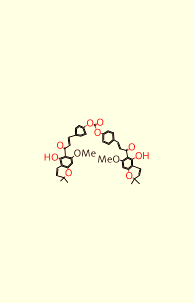 COc1cc2c(c(O)c1C(=O)C=Cc1ccc(OC(=O)Oc3ccc(C=CC(=O)c4c(OC)cc5c(c4O)C=CC(C)(C)O5)cc3)cc1)C=CC(C)(C)O2